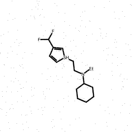 CCN(CC[SH]1C=CC(C(F)F)=C1)C1CCCCC1